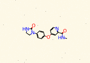 CNC(=O)c1cc(Oc2ccc(N3CCNC3=O)cc2)ccn1